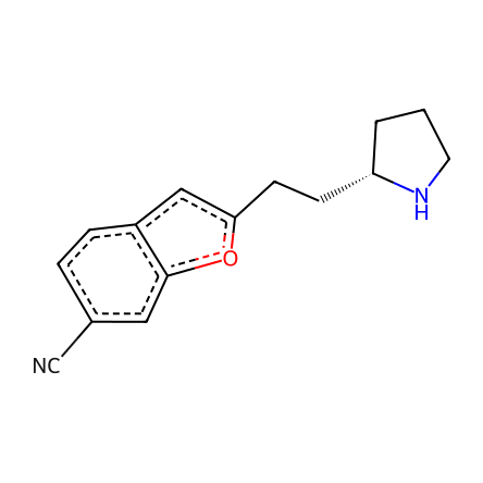 N#Cc1ccc2cc(CC[C@@H]3CCCN3)oc2c1